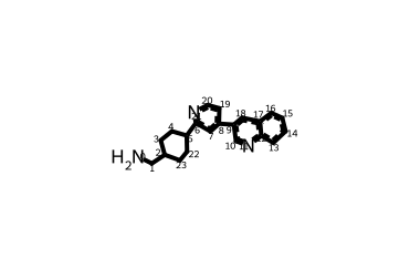 NCC1CCC(c2cc(-c3cnc4ccccc4c3)ccn2)CC1